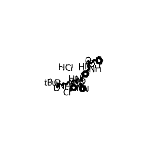 CC(C)(C)OC(=O)NCCCN(CC(=O)NC(=O)c1ccc(C(=N)NC(=O)OCc2ccccc2)cc1)c1cc(Cl)cc(-n2ccncc2=O)c1.Cl